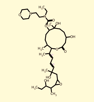 CCC(O)C(C)C1OC1CC(C)(O)/C=C/C=C(\C)C1OC(=O)CC(O)CCC(C)(O)C(OC(=O)N(CC)CCN2CCOCC2)CCC1C